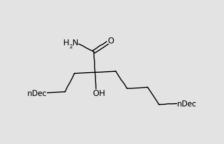 CCCCCCCCCCCCCCC(O)(CCCCCCCCCCCC)C(N)=O